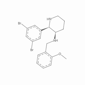 COc1ccccc1CN[C@@H]1CCCN[C@@H]1c1cc(Br)cc(Br)c1